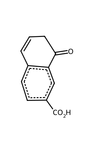 O=C(O)c1ccc2c(c1)C(=O)CC=C2